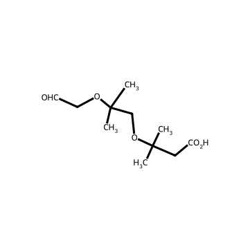 CC(C)(COC(C)(C)CC(=O)O)OCC=O